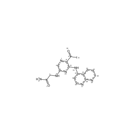 NC(=O)CNc1cnc(C(=O)I)c(Nc2ccnc3ncccc23)n1